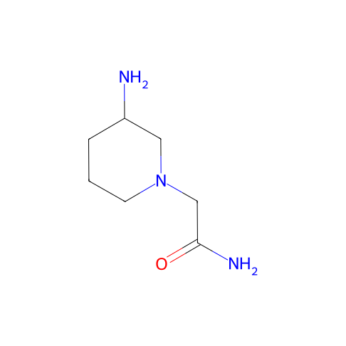 NC(=O)CN1CCCC(N)C1